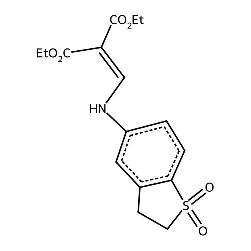 CCOC(=O)C(=CNc1ccc2c(c1)CCS2(=O)=O)C(=O)OCC